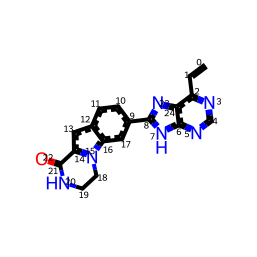 C=Cc1ncnc2[nH]c(-c3ccc4cc5n(c4c3)CCNC5=O)nc12